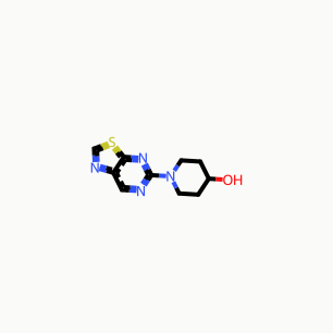 OC1CCN(c2ncc3ncsc3n2)CC1